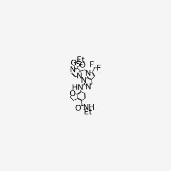 CCNC(=O)c1ccc(Nc2ncc3cc(C(F)F)n(Cc4nccnc4S(=O)(=O)CC)c3n2)c2c1CCO2